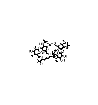 CO[C@@H]1OC(CO)[C@@H](O)[C@H](O[C@@H]2OC(C(=O)NCCCCC(NC(=O)C3O[C@H](OC4[C@@H](O)C(CO)O[C@H](OC)[C@@H]4NC(C)=O)[C@H](O)C(O)[C@H]3OC)C(=O)O)[C@@H](OC)[C@H](O)C2O)C1NC(C)=O